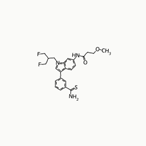 COCCC(=O)Nc1ccc2c(-c3cccc(C(N)=S)c3)cn(CC(CF)CF)c2c1